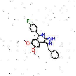 COc1cc2c(-c3ccc(F)cc3)nc3[nH]nc(Cc4ccccc4)c3c2cc1OC